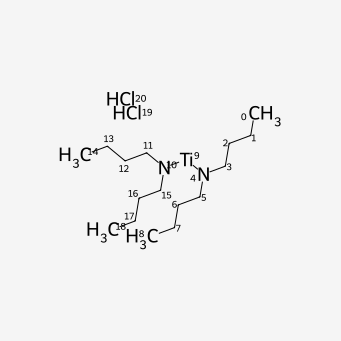 CCCC[N](CCCC)[Ti][N](CCCC)CCCC.Cl.Cl